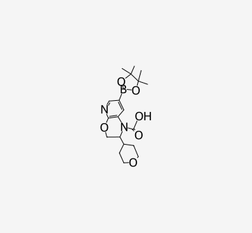 CC1(C)OB(c2cnc3c(c2)N(C(=O)O)C(C2CCOCC2)CO3)OC1(C)C